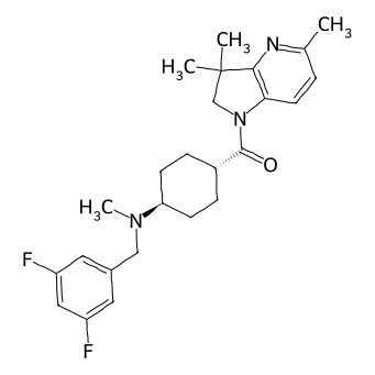 Cc1ccc2c(n1)C(C)(C)CN2C(=O)[C@H]1CC[C@H](N(C)Cc2cc(F)cc(F)c2)CC1